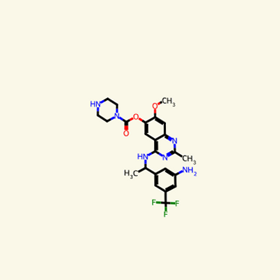 COc1cc2nc(C)nc(NC(C)c3cc(N)cc(C(F)(F)F)c3)c2cc1OC(=O)N1CCNCC1